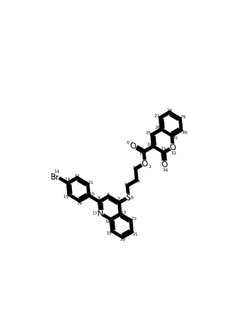 O=C(OCCCSc1cc(-c2ccc(Br)cc2)nc2ccccc12)c1cc2ccccc2oc1=O